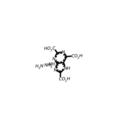 N.N.N.O=C(O)c1nc(C(=O)O)c2[nH]c(C(=O)O)nc2n1